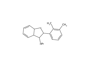 CCCC1C(c2cccc(C)c2C)[C]C2C=CC=CC21